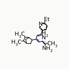 CCc1ccc(/C(N)=C/C(=C\C=C(\C)N)C2CC3CC2C(C)C3C)cn1